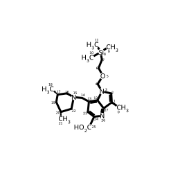 Cc1cn(COCC[Si](C)(C)C)c2c(CN3C[C@H](C)C[C@H](C)C3)cc(C(=O)O)nc12